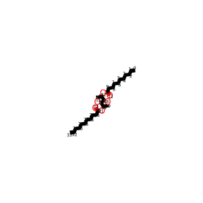 C=CCCCCCCCCC(=O)O[C@H]1COC2C1OC[C@H]2OC(=O)CCCCCCCCC=C